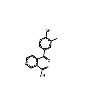 Cc1cc(C(=O)c2ccccc2C(=O)O)ccc1O